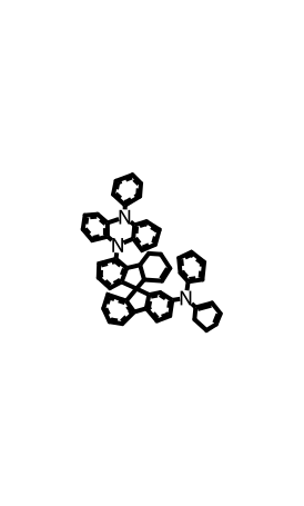 C1=CCCC(N(c2ccccc2)c2ccc3c(c2)C2(c4ccccc4-3)c3cccc(N4c5ccccc5N(c5ccccc5)c5ccccc54)c3C3CCC=CC32)=C1